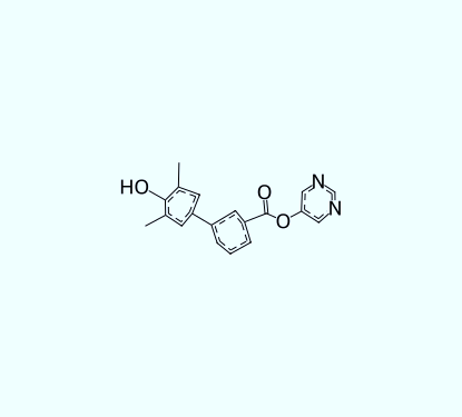 Cc1cc(-c2cccc(C(=O)Oc3cncnc3)c2)cc(C)c1O